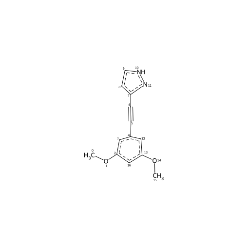 COc1cc(C#Cc2cc[nH]n2)cc(OC)c1